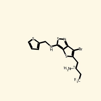 N[C@H](Cc1sc2c(NCc3cccs3)snc2c1Br)CC(F)(F)F